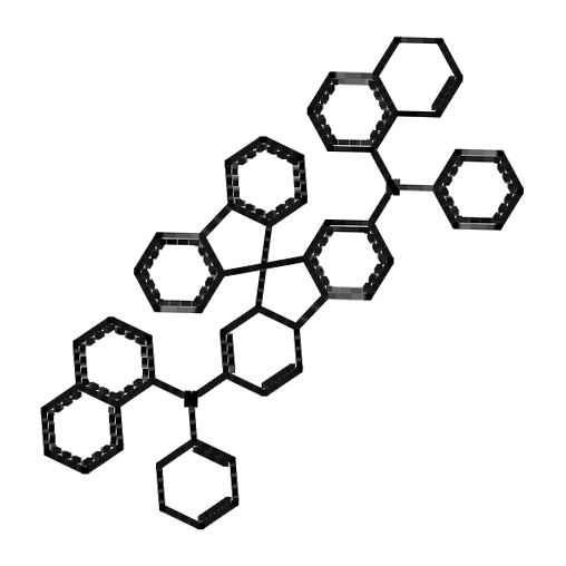 C1=CCCC(N(C2=CC3C(C=C2)c2ccc(N(c4ccccc4)c4cccc5c4C=CCC5)cc2C32c3ccccc3-c3ccccc32)c2cccc3ccccc23)=C1